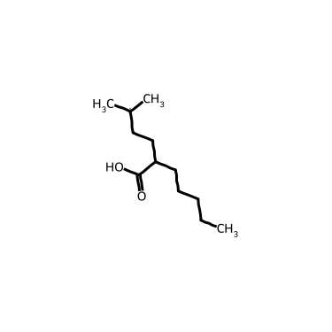 CCCCCC(CC[C](C)C)C(=O)O